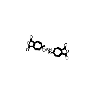 CC1(OBOC2CC=C3C(=O)OC(=O)C3=CC2)C=CC2=C(C=C1)C(=O)OC2=O